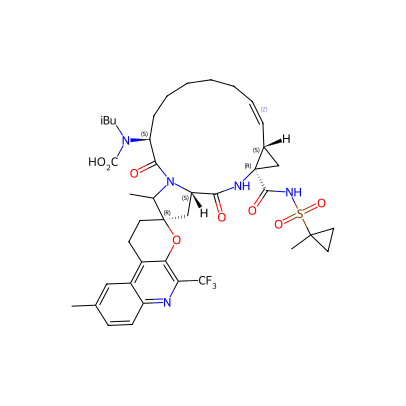 CCC(C)N(C(=O)O)[C@H]1CCCCC/C=C\[C@@H]2C[C@@]2(C(=O)NS(=O)(=O)C2(C)CC2)NC(=O)[C@@H]2C[C@]3(CCc4c(c(C(F)(F)F)nc5ccc(C)cc45)O3)C(C)N2C1=O